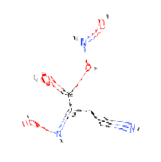 N#CC(=NO)C(=O)ON=O